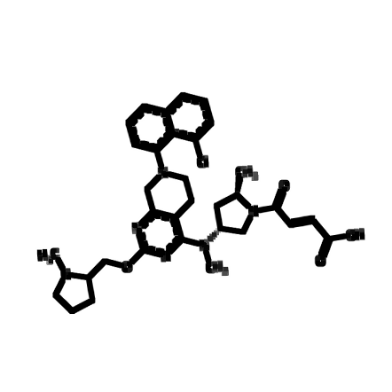 C[C@@H]1C[C@@H](N(C)c2nc(OCC3CCCN3C)nc3c2CCN(c2cccc4cccc(Cl)c24)C3)CN1C(=O)/C=C/C(=O)O